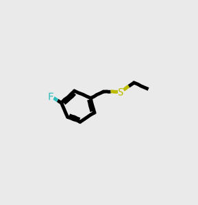 CCSCc1cccc(F)c1